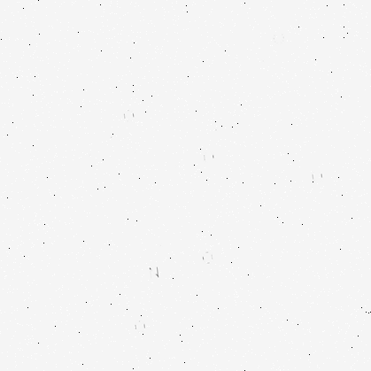 CCC1(OC)c2ccccc2-c2c1c1c(c3cc(OC)c(N4CCOCC4)cc23)OC(c2ccc(OC)cc2)(c2ccc(OC)cc2)C=C1